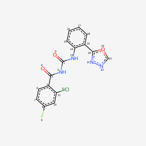 O=C(NC(=O)c1ccc(F)cc1Cl)Nc1ccccc1-c1nnco1